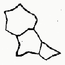 C1CCC2C(C1)CC1CCC12